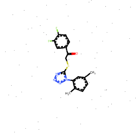 Cc1ccc(C)c(-n2nnnc2SCC(=O)c2ccc(F)c(F)c2)c1